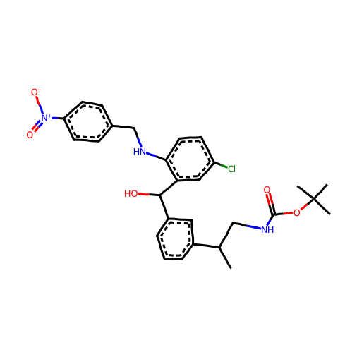 CC(CNC(=O)OC(C)(C)C)c1cccc(C(O)c2cc(Cl)ccc2NCc2ccc([N+](=O)[O-])cc2)c1